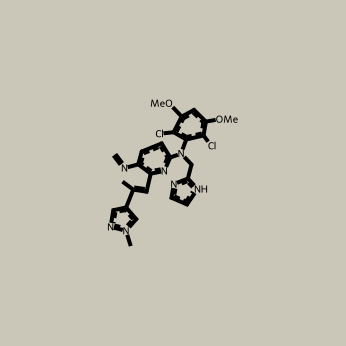 C=Nc1ccc(N(Cc2ncc[nH]2)c2c(Cl)c(OC)cc(OC)c2Cl)nc1/C=C(\C)c1cnn(C)c1